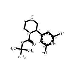 CC(C)(C)OC(=O)N1CCOCC1c1cc(Cl)nc(Cl)c1